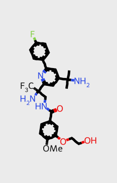 COc1ccc(C(=O)NCC(N)(c2cc(C(C)(C)N)cc(-c3ccc(F)cc3)n2)C(F)(F)F)cc1OCCO